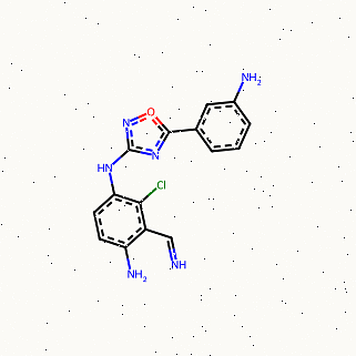 N=Cc1c(N)ccc(Nc2noc(-c3cccc(N)c3)n2)c1Cl